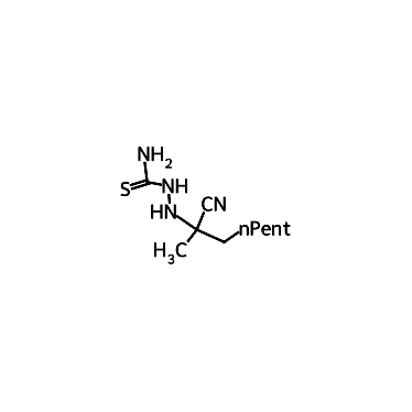 CCCCCCC(C)(C#N)NNC(N)=S